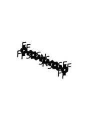 Fc1cc(F)c(F)c(-c2cc3cc4sc(-c5nc6sc(-c7cc8cc9sc(-c%10c(F)c(F)cc(F)c%10F)cc9cc8s7)nc6s5)cc4cc3s2)c1F